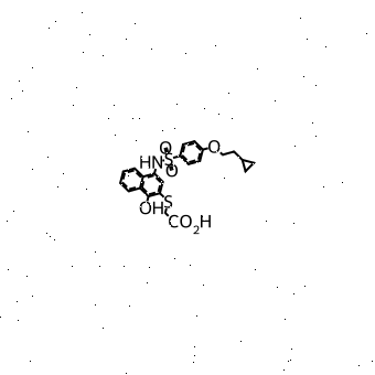 O=C(O)CSc1cc(NS(=O)(=O)c2ccc(OCCC3CC3)cc2)c2ccccc2c1O